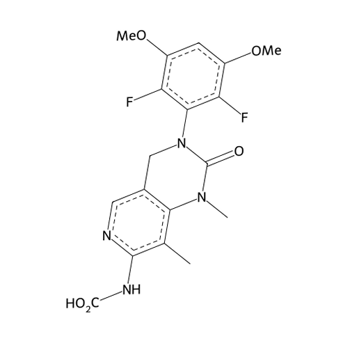 COc1cc(OC)c(F)c(N2Cc3cnc(NC(=O)O)c(C)c3N(C)C2=O)c1F